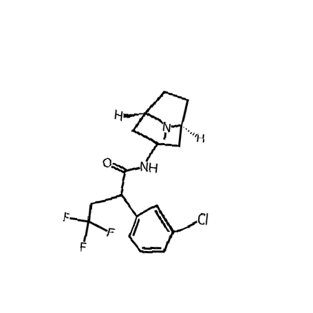 CN1[C@H]2CC[C@H]1CC(NC(=O)C(CC(F)(F)F)c1cccc(Cl)c1)C2